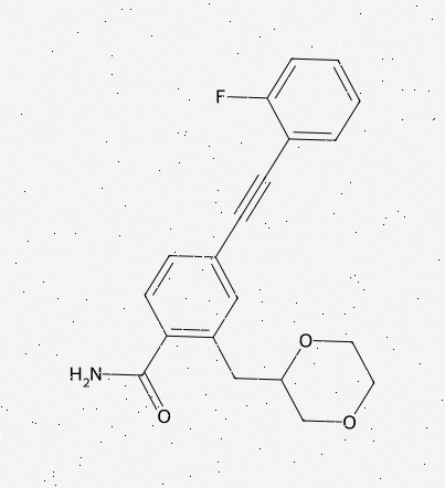 NC(=O)c1ccc(C#Cc2ccccc2F)cc1CC1COCCO1